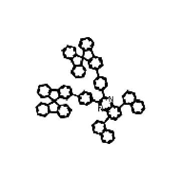 c1ccc2c(c1)-c1ccccc1C21c2ccccc2-c2ccc(-c3ccc(-c4nc5c(-c6cccc7ccccc67)ccc(-c6cccc7ccccc67)c5nc4-c4ccc(-c5ccc6c(c5)C5(c7ccccc7-c7ccccc75)c5ccccc5-6)cc4)cc3)cc21